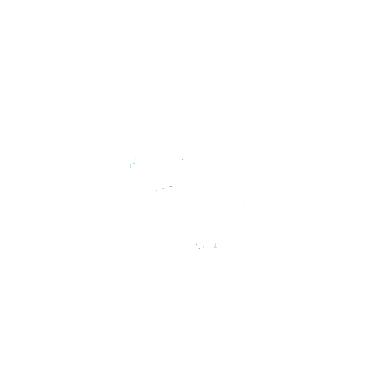 CC(=O)Nc1ccc(F)c2c1C(C)=CC2(C)C